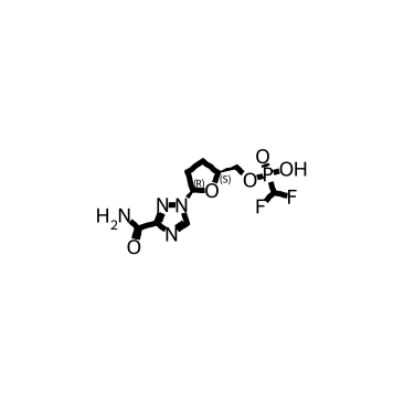 NC(=O)c1ncn([C@H]2CC[C@@H](COP(=O)(O)C(F)F)O2)n1